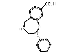 O=C(O)c1ccc2c(c1)O[C@H](c1ccccc1)CNC2